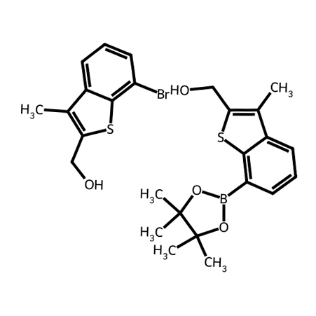 Cc1c(CO)sc2c(B3OC(C)(C)C(C)(C)O3)cccc12.Cc1c(CO)sc2c(Br)cccc12